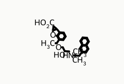 CC(OC[C@H](O)CNC(C)(C)Cc1ccc2ccccc2c1)c1cccc2c1OC1C(C(=O)O)C21